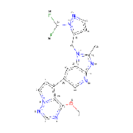 COc1ncnn2ccc(-c3cnc4nc(C)n(Cc5ccnn5C(F)F)c4c3)c12